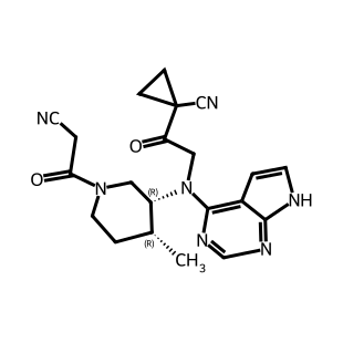 C[C@@H]1CCN(C(=O)CC#N)C[C@@H]1N(CC(=O)C1(C#N)CC1)c1ncnc2[nH]ccc12